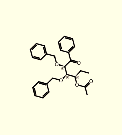 CC[C@@H](OC(C)=O)[C@@H](OCc1ccccc1)[C@@H](OCc1ccccc1)C(=O)c1ccccc1